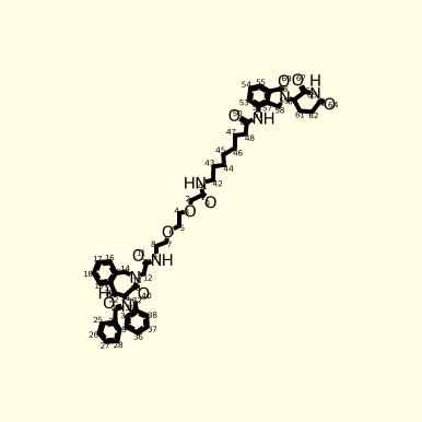 O=C(COCCOCCNC(=O)CN1Cc2ccccc2[C@@H]2OC(c3ccccc3)=N[C@]2(Cc2ccccc2)C1=O)NCCCCCCCC(=O)Nc1cccc2c1CN(C1CCC(=O)NC1=O)C2=O